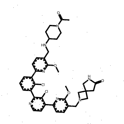 COc1nc(-c2cccc(-c3nccc(-c4ccc(CN5CC6(CNC(=O)C6)C5)c(OC)n4)c3Cl)c2Cl)ccc1CNC1CCN(C(C)=O)CC1